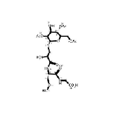 CC(=O)OCC1O[C@@H](SCC(N)C(=O)N[C@@H](COC(C)(C)C)C(=O)NCC(=O)O)C(OC(C)=O)C(OC(C)=O)[C@@H]1OC(C)=O